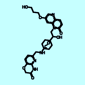 O=C1COc2ccc(CNC34CCC(C(O)Cn5c(=O)ccc6ncc(OCCCO)cc65)(CC3)OC4)nc2N1